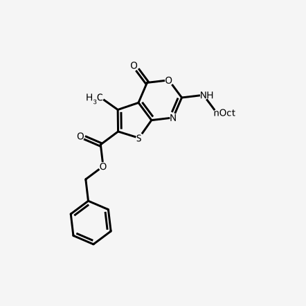 CCCCCCCCNc1nc2sc(C(=O)OCc3ccccc3)c(C)c2c(=O)o1